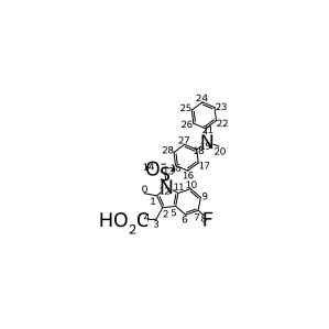 Cc1c(CC(=O)O)c2cc(F)ccc2n1[S+]([O-])c1ccc(N(C)c2ccccc2)cc1